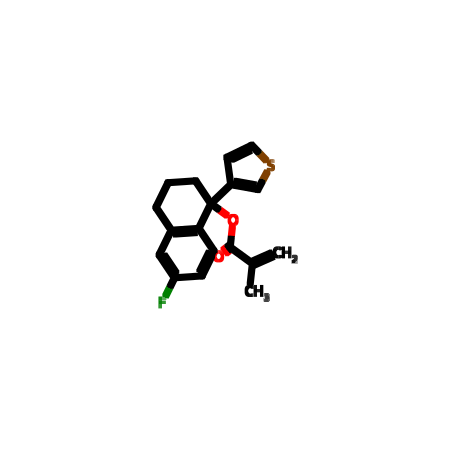 C=C(C)C(=O)OC1(c2ccsc2)CCCc2cc(F)ccc21